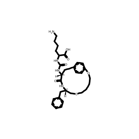 NCCCCC(NC(=O)N[C@@H]1Cc2ccc(cc2)OCCCCOC[C@H](Cc2ccccc2)NC1=O)C(=O)O